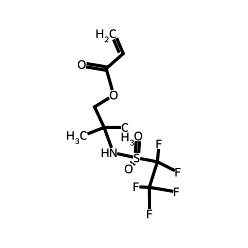 C=CC(=O)OCC(C)(C)NS(=O)(=O)C(F)(F)C(F)(F)F